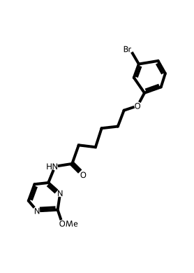 COc1nccc(NC(=O)CCCCCOc2cccc(Br)c2)n1